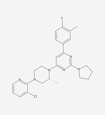 Cc1cc(-c2cc(N3CCN(c4ncccc4Cl)C[C@H]3C)nc(N3CCCC3)n2)ccc1F